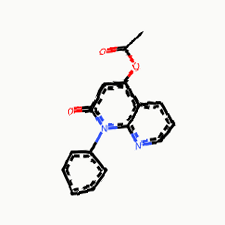 CC(=O)Oc1cc(=O)n(-c2ccccc2)c2ncccc12